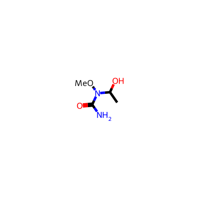 CON(C(N)=O)C(C)O